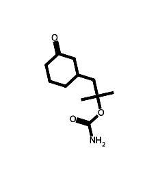 CC(C)(CC1CCCC(=O)C1)OC(N)=O